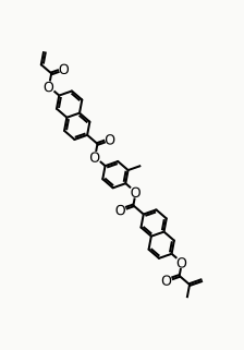 C=CC(=O)Oc1ccc2cc(C(=O)Oc3ccc(OC(=O)c4ccc5cc(OC(=O)C(=C)C)ccc5c4)c(C)c3)ccc2c1